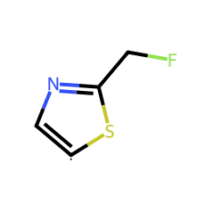 FCc1nc[c]s1